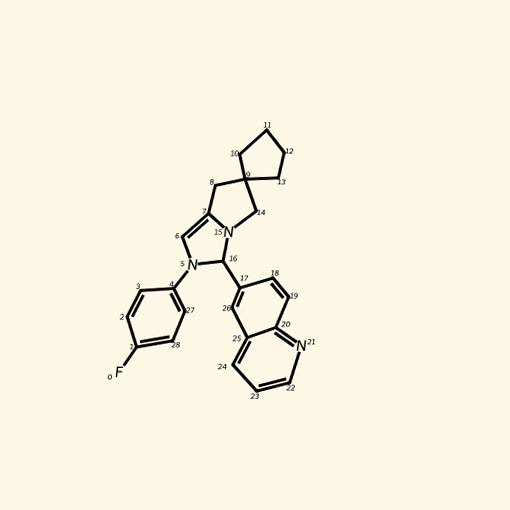 Fc1ccc(N2C=C3CC4(CCCC4)CN3C2c2ccc3ncccc3c2)cc1